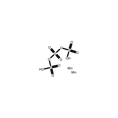 O=S(=O)(O)OS(=O)(=O)OS(=O)(=O)O.[Mn].[Mn]